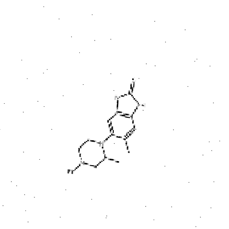 CCN1CCN(c2cc3[nH]c(=S)[nH]c3cc2C)C(C)C1